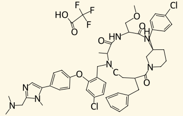 COCC1NC(=O)C(C)N(Cc2ccc(Cl)cc2Oc2ccc(-c3cnc(CN(C)C)n3C)cc2)CCC(Cc2ccccc2)C(=O)N2CCCC(Cc3ccc(Cl)cc3)(C2)NC1=O.O=C(O)C(F)(F)F